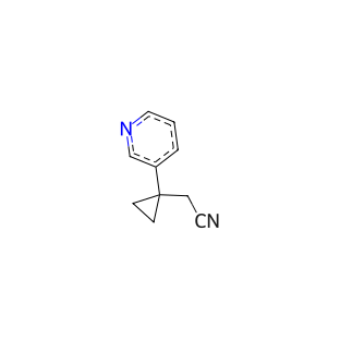 N#CCC1(c2cccnc2)CC1